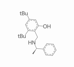 C[C@@H](NCc1c(O)cc(C(C)(C)C)cc1C(C)(C)C)c1ccccc1